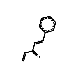 C=CC(=O)/[C]=C/c1ccccc1